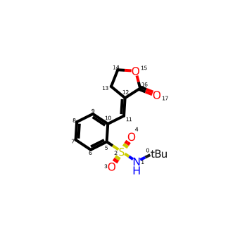 CC(C)(C)NS(=O)(=O)c1ccccc1C=C1CCOC1=O